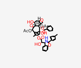 CC(=O)O[C@H]1C(=O)[C@@]2(C)[C@H]([C@H](OC(=O)c3ccccc3)[C@]3(O)C[C@H](OC(=O)[C@H](O)C(NC(=O)c4ccc(C)cc4)c4ccccc4)C(C)=C1C3(C)C)[C@]1(OC(C)=O)CO[C@@H]1C[C@@H]2O